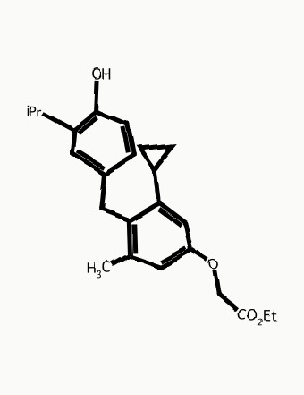 CCOC(=O)COc1cc(C)c(Cc2ccc(O)c(C(C)C)c2)c(C2CC2)c1